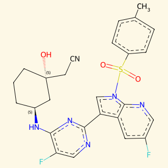 Cc1ccc(S(=O)(=O)n2cc(-c3ncc(F)c(N[C@H]4CCC[C@@](O)(CC#N)C4)n3)c3cc(F)cnc32)cc1